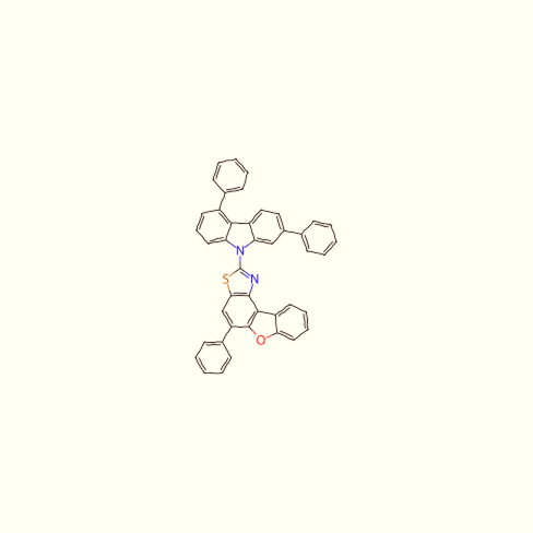 c1ccc(-c2ccc3c4c(-c5ccccc5)cccc4n(-c4nc5c(cc(-c6ccccc6)c6oc7ccccc7c65)s4)c3c2)cc1